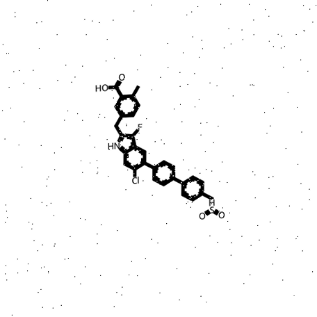 Cc1ccc(Cc2[nH]c3cc(Cl)c(-c4ccc(-c5ccc(C[SH](=O)=O)cc5)cc4)cc3c2F)cc1C(=O)O